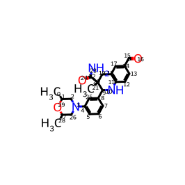 CC1CN(c2cccc(C3Nc4ccc([C]=O)cc4CC3(C)C(N)=O)c2)CC(C)O1